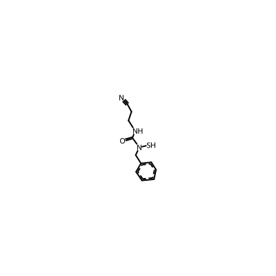 N#CCCNC(=O)N(S)Cc1ccccc1